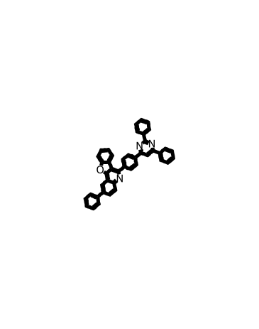 c1ccc(-c2ccc3nc(-c4ccc(-c5cc(-c6ccccc6)nc(-c6ccccc6)n5)cc4)c4c5ccccc5oc4c3c2)cc1